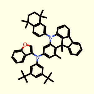 Cc1cc(N(c2cc(C(C)(C)C)cc(C(C)(C)C)c2)c2coc3ccccc23)cc2c1C1(C)c3ccccc3-c3cccc(c31)N2c1ccc2c(c1)C(C)(C)CCC2(C)C